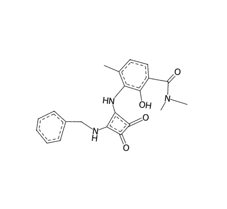 Cc1ccc(C(=O)N(C)C)c(O)c1Nc1c(NCc2ccccc2)c(=O)c1=O